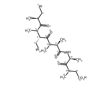 CC(C)C[C@H](N)C(=O)N(C)[C@@H](CC(C)C)C(=O)N(C)[C@@H](C)C(=O)N[C@@H](C)C(=O)N(C)CC(=O)O